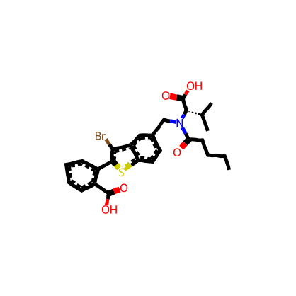 CCCCC(=O)N(Cc1ccc2sc(-c3ccccc3C(=O)O)c(Br)c2c1)[C@H](C(=O)O)C(C)C